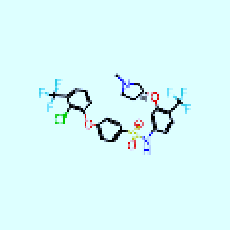 CN1CC[C@@H](Oc2cc(NS(=O)(=O)c3ccc(Oc4cccc(C(F)(F)F)c4Cl)cc3)ccc2C(F)(F)F)C1